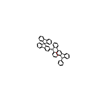 c1ccc(N(c2ccc3c(c2)C2(c4ccccc4-c4ccccc42)c2ccccc2-3)c2ccccc2-c2ccc3c(c2)c2ccccc2n3-c2ccccc2)cc1